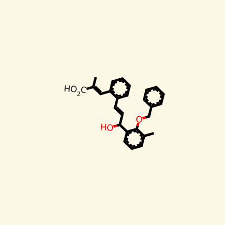 CC(=Cc1ccccc1C=CC(O)c1cccc(C)c1OCc1ccccc1)C(=O)O